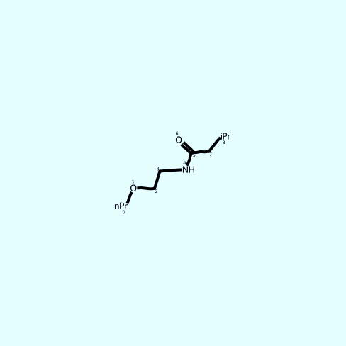 CCCOCCNC(=O)CC(C)C